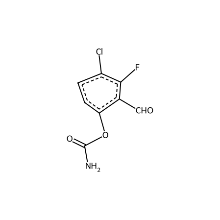 NC(=O)Oc1ccc(Cl)c(F)c1C=O